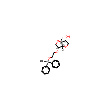 CC(C)(C)[Si](OCCO[C@H]1CO[C@H]2[C@@H]1OC[C@H]2O)(c1ccccc1)c1ccccc1